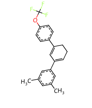 Cc1cc(C)cc(C2=CCCC(c3ccc(OC(F)(F)F)cc3)=C2)c1